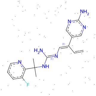 C=C/C(=C\N=C(/N)NC(C)(C)c1ncccc1F)c1cnc(N)nc1